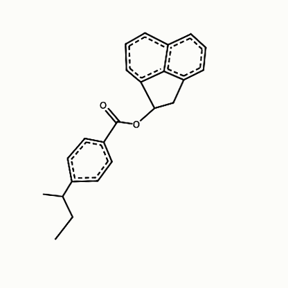 CCC(C)c1ccc(C(=O)OC2Cc3cccc4cccc2c34)cc1